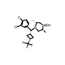 C[C@@H]1CN[C@@H](C)CN1C(c1ccc(F)c(Cl)c1)[C@H]1C[C@H](C(F)(F)F)C1.Cl